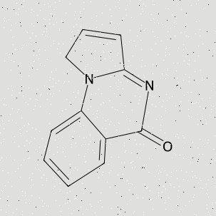 O=c1nc2n(c3ccccc13)CC=C2